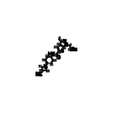 Cc1nn(CC(C)(C)C)c2sc(C(=O)NC3CCC(N4CC(C#N)C4)CC3)cc12